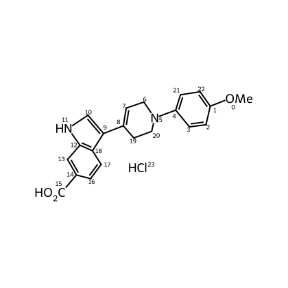 COc1ccc(N2CC=C(c3c[nH]c4cc(C(=O)O)ccc34)CC2)cc1.Cl